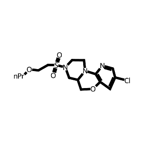 CCCOCCS(=O)(=O)N1CCN2c3ncc(Cl)cc3OCC2C1